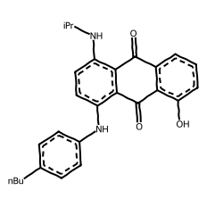 CCCCc1ccc(Nc2ccc(NC(C)C)c3c2C(=O)c2c(O)cccc2C3=O)cc1